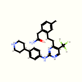 Cc1ccc(CC(N)=O)c(CCc2nc(Nc3ccc(C4CCNCC4)cc3)ncc2C(F)(F)F)c1